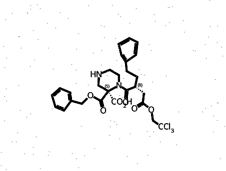 O=C(C[C@@H](CCc1ccccc1)C(=O)N1CCNC[C@]1(C(=O)O)C(=O)OCc1ccccc1)OCC(Cl)(Cl)Cl